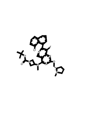 CN(c1nc(OC[C@@H]2CCCN2C)nc2c(F)c(-c3cccc4cccc(Cl)c34)ncc12)C1CN(C(=O)OC(C)(C)C)C1